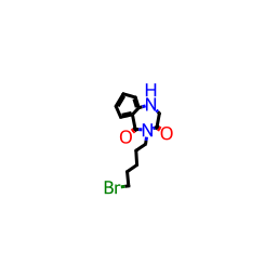 O=C1CNc2ccccc2C(=O)N1CCCCCBr